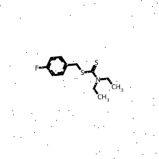 CCN(CC)C(=S)SCc1ccc(F)cc1